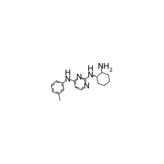 Cc1cccc(Nc2ccnc(N[C@@H]3CCCC[C@@H]3N)n2)c1